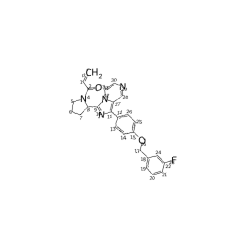 C=CC(=O)N1CCCC1c1nc(-c2ccc(OCc3cccc(F)c3)cc2)c2cnccn12